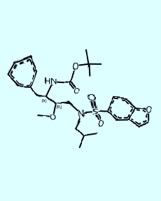 CO[C@H](CN(CC(C)C)S(=O)(=O)c1ccc2occc2c1)[C@@H](Cc1ccccc1)NC(=O)OC(C)(C)C